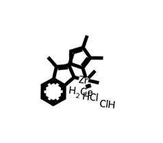 CC1=CC(C)[C]([Zr]([CH3])([CH3])(=[GeH2])[CH]2C(C)=C(C)c3ccccc32)=C1C.Cl.Cl